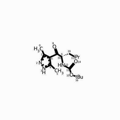 Cc1n[nH]c(C)c1C(=O)[C@H](CC(C)C)NC(=O)OC(C)(C)C